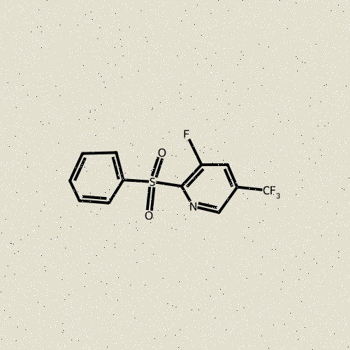 O=S(=O)(c1ccccc1)c1ncc(C(F)(F)F)cc1F